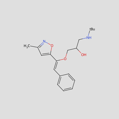 Cc1cc(C(=Cc2ccccc2)OCC(O)CNC(C)(C)C)on1